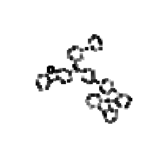 c1ccc(-c2cccc(N(c3ccc(-c4ccc5c(c4)C4(c6ccccc6-c6ccccc64)c4ccccc4-5)cc3)c3ccc4c(c3)oc3ccccc34)c2)cc1